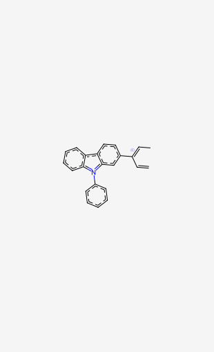 C=C/C(=C\C)c1ccc2c3ccccc3n(-c3ccccc3)c2c1